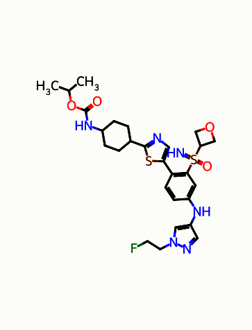 CC(C)OC(=O)NC1CCC(c2ncc(-c3ccc(Nc4cnn(CCF)c4)cc3S(=N)(=O)C3COC3)s2)CC1